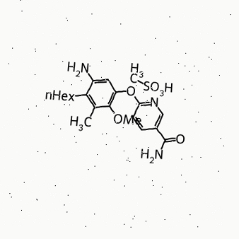 CCCCCCc1c(N)cc(Oc2ccc(C(N)=O)cn2)c(OC)c1C.CS(=O)(=O)O